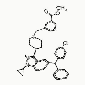 COC(=O)c1cccc(CN2CCC(c3nn(C4CC4)c4ccc(C(c5ccccc5)c5ccc(Cl)cc5)cc34)CC2)c1